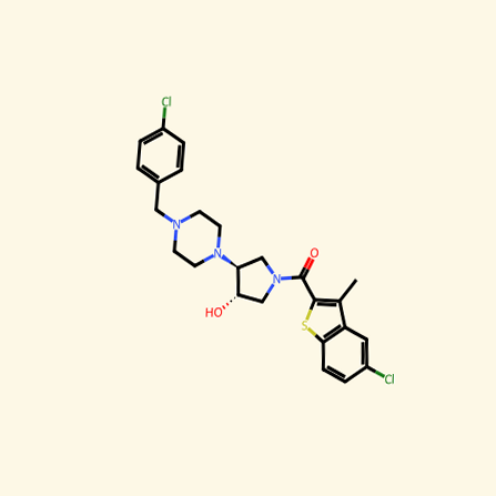 Cc1c(C(=O)N2C[C@H](O)[C@@H](N3CCN(Cc4ccc(Cl)cc4)CC3)C2)sc2ccc(Cl)cc12